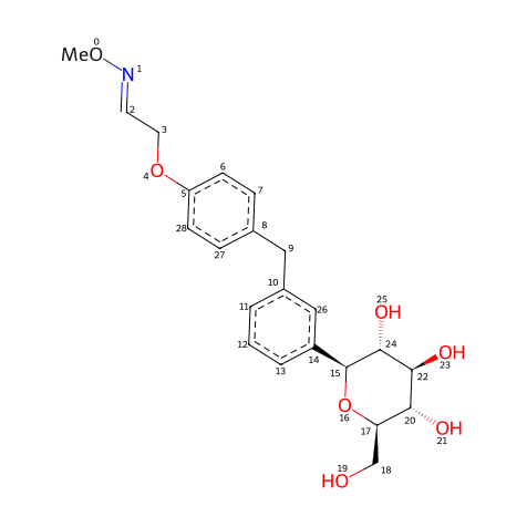 CO/N=C/COc1ccc(Cc2cccc([C@@H]3O[C@H](CO)[C@@H](O)[C@H](O)[C@H]3O)c2)cc1